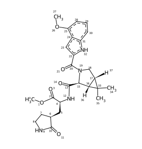 COC(=O)[C@H](C[C@@H]1CCNC1=O)NC(=O)[C@@H]1[C@@H]2[C@H](CN1C(=O)c1cc3c(OC)cccc3[nH]1)C2(C)C